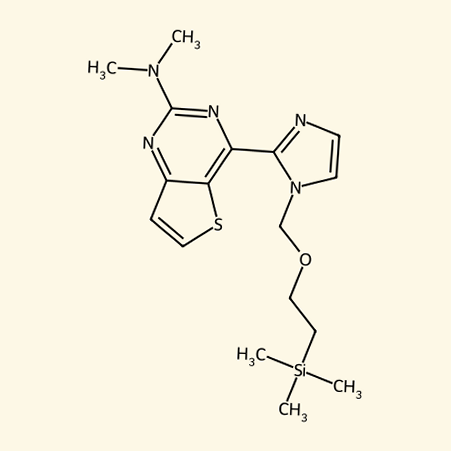 CN(C)c1nc(-c2nccn2COCC[Si](C)(C)C)c2sccc2n1